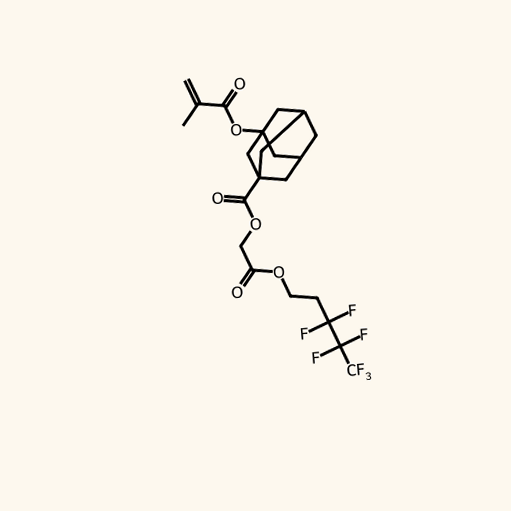 C=C(C)C(=O)OC12CC3CC(C1)CC(C(=O)OCC(=O)OCCC(F)(F)C(F)(F)C(F)(F)F)(C3)C2